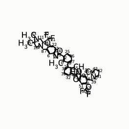 Cc1c(-c2nc3cc(CN4CCN(C)C(C)C4)c(OC(F)F)cc3o2)cccc1-c1cccc(-c2nc3cc(CN4CCC[C@H]4C(=O)O)c(OC(F)F)cc3o2)c1C